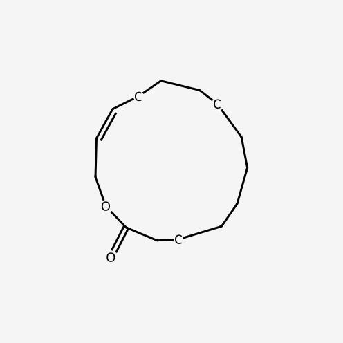 O=C1CCCCCCCCCCC=CCO1